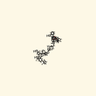 Cc1ncsc1-c1ccc([C@H](C)NC(=O)[C@@H]2C[C@@H](O)CN2C(=O)[C@H](c2cc(OCCC3(O)CCN(CC4CC(Oc5cc(N6C7CC[C@@H]6CN(c6cc(-c8ccccc8O)nnc6N)C7)ccn5)C4)CC3)no2)C(C)C)cc1